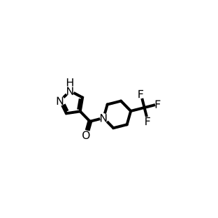 O=C(c1cn[nH]c1)N1CCC(C(F)(F)F)CC1